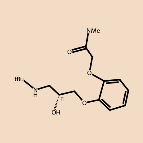 CNC(=O)COc1ccccc1OC[C@H](O)CNC(C)(C)C